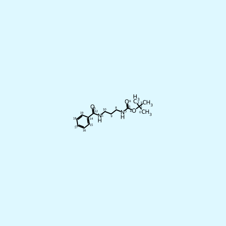 CC(C)(C)OC(=O)NCCCNC(=O)c1cc[c]cc1